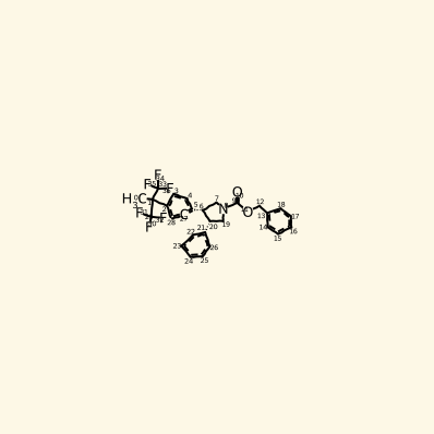 CC(c1ccc([C@@H]2CN(C(=O)OCc3ccccc3)C[C@@H]2c2ccccc2)cc1)(C(F)(F)F)C(F)(F)F